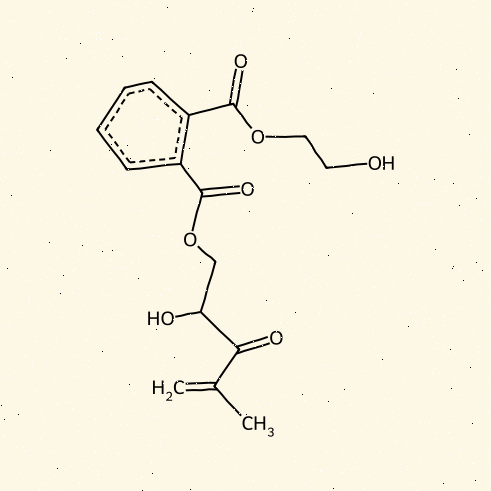 C=C(C)C(=O)C(O)COC(=O)c1ccccc1C(=O)OCCO